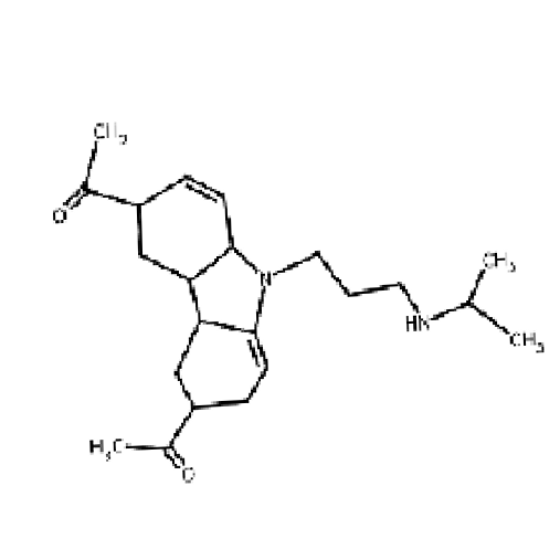 CC(=O)C1C=CC2C(C1)C1CC(C(C)=O)CC=C1N2CCCNC(C)C